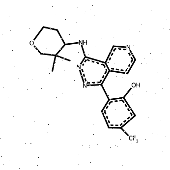 CC1(C)COCCC1Nc1nnc(-c2ccc(C(F)(F)F)cc2O)c2ccncc12